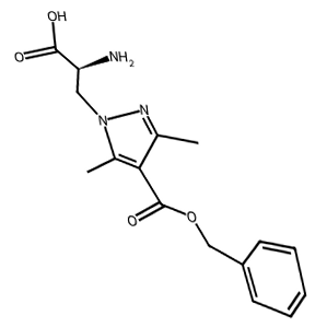 Cc1nn(C[C@H](N)C(=O)O)c(C)c1C(=O)OCc1ccccc1